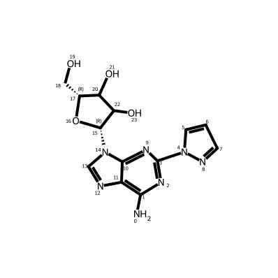 Nc1nc(-n2cccn2)nc2c1ncn2[C@@H]1O[C@H](CO)C(O)C1O